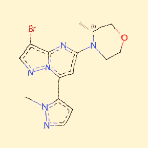 C[C@@H]1COCCN1c1cc(-c2ccnn2C)n2ncc(Br)c2n1